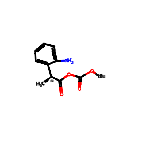 C[C@H](C(=O)OC(=O)OC(C)(C)C)c1ccccc1N